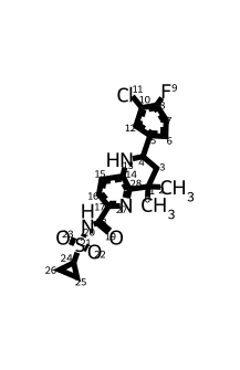 CC1(C)CC(c2ccc(F)c(Cl)c2)Nc2ccc(C(=O)NS(=O)(=O)C3CC3)nc21